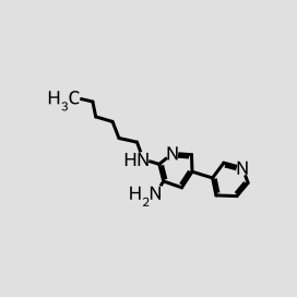 CCCCCCNc1ncc(-c2cccnc2)cc1N